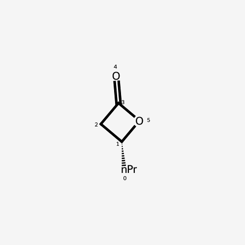 CCC[C@@H]1CC(=O)O1